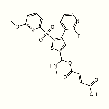 CNC(OC(=O)/C=C/C(=O)O)c1cc(-c2cccnc2F)c(S(=O)(=O)c2cccc(OC)n2)s1